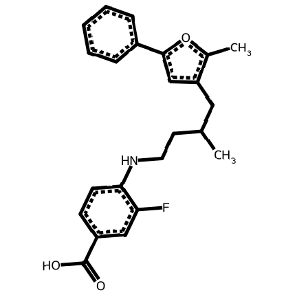 Cc1oc(-c2ccccc2)cc1CC(C)CCNc1ccc(C(=O)O)cc1F